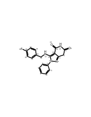 O=C1Cc2nn(-c3ccccc3)c(NCc3ccc(F)cc3)c2C(=O)N1